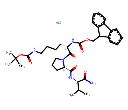 CC(C)[C@H](NC(=O)[C@@H]1CCCN1C(=O)[C@H](CCCCNC(=O)OC(C)(C)C)NC(=O)OCC1c2ccccc2-c2ccccc21)C(N)=O.Cl